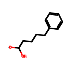 [O]C(O)CCCCc1ccccc1